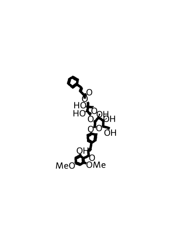 COc1cc(O)c(C(=O)/C=C/c2ccc(O[C@@H]3OC(CO)[C@@H](O)[C@H](O)C3O[C@@H]3OCC(O)(COC(=O)/C=C/c4ccccc4)[C@@H]3O)cc2)c(OC)c1